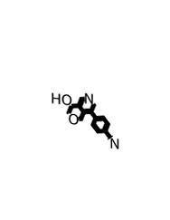 N#Cc1ccc(-c2cncc3c2COCC3O)cc1